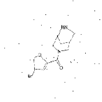 O=C(C1=CC(Br)CO1)N1CC2CNCC(C2)C1